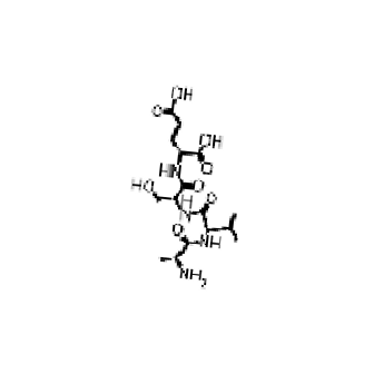 CC(C)[C@H](NC(=O)[C@H](C)N)C(=O)N[C@@H](CO)C(=O)N[C@@H](CCC(=O)O)C(=O)O